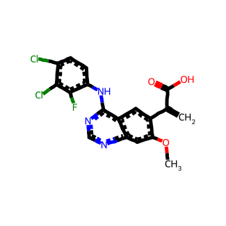 C=C(C(=O)O)c1cc2c(Nc3ccc(Cl)c(Cl)c3F)ncnc2cc1OC